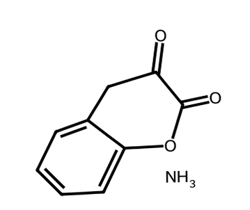 N.O=C1Cc2ccccc2OC1=O